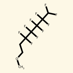 COCCC(F)(F)C(F)(F)C(F)(F)C(F)(F)C(F)F